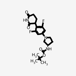 CC(C)(C)OC(=O)N[C@H]1CCN(c2cc(F)c(C3CCC(=O)NC3=O)c(F)c2)C1